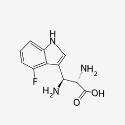 N[C@H](C(=O)O)[C@@H](N)c1c[nH]c2cccc(F)c12